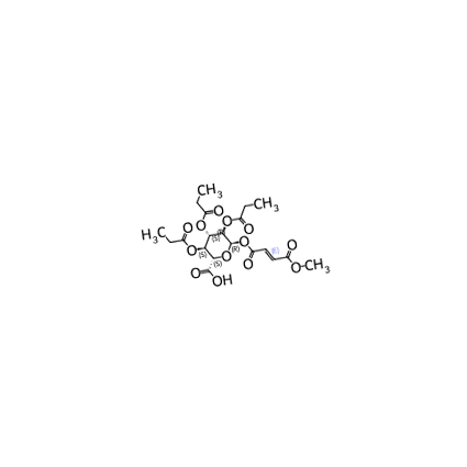 CCC(=O)O[C@@H]1[C@@H](OC(=O)CC)[C@@H](OC(=O)/C=C/C(=O)OC)O[C@H](C(=O)O)[C@H]1OC(=O)CC